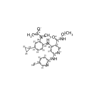 CONC(=O)c1cnc(Nc2ccc(F)cn2)cc1Nc1ccc(C2CC2)cc1N(C)[S+](C)[O-]